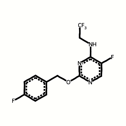 Fc1ccc(COc2ncc(F)c(NCC(F)(F)F)n2)cc1